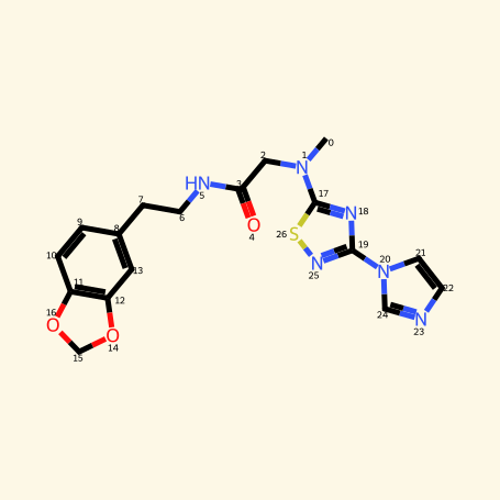 CN(CC(=O)NCCc1ccc2c(c1)OCO2)c1nc(-n2ccnc2)ns1